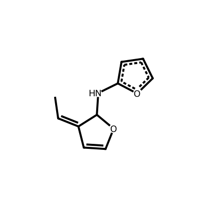 CC=C1C=COC1Nc1ccco1